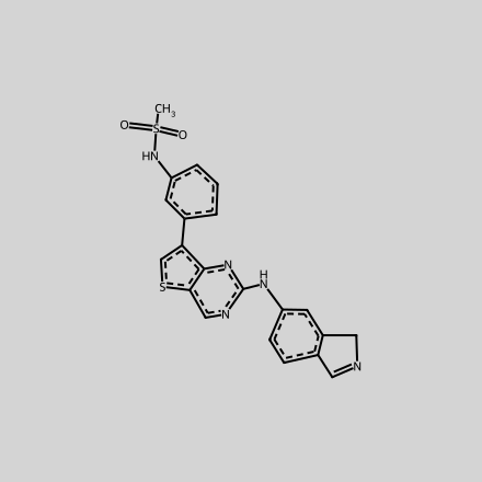 CS(=O)(=O)Nc1cccc(-c2csc3cnc(Nc4ccc5c(c4)CN=C5)nc23)c1